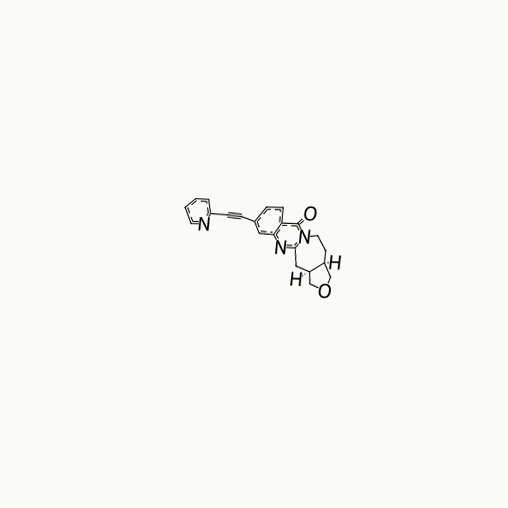 O=c1c2ccc(C#Cc3ccccn3)cc2nc2n1CC[C@H]1COC[C@H]1C2